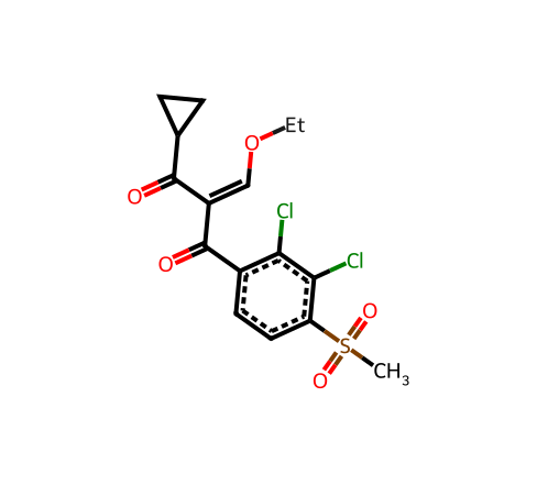 CCOC=C(C(=O)c1ccc(S(C)(=O)=O)c(Cl)c1Cl)C(=O)C1CC1